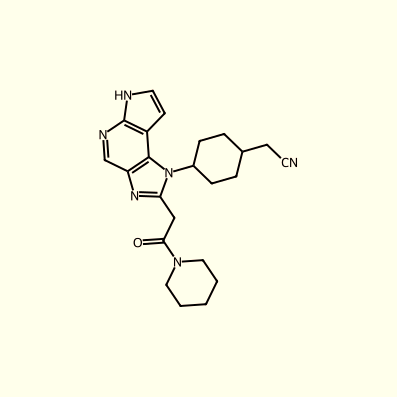 N#CCC1CCC(n2c(CC(=O)N3CCCCC3)nc3cnc4[nH]ccc4c32)CC1